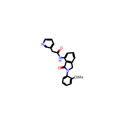 COc1ccccc1N1Cc2cccc(NC(=O)Cc3cccnc3)c2C1=O